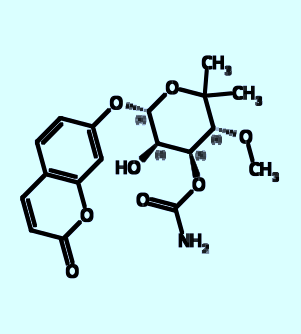 CO[C@@H]1[C@@H](OC(N)=O)[C@@H](O)[C@H](Oc2ccc3ccc(=O)oc3c2)OC1(C)C